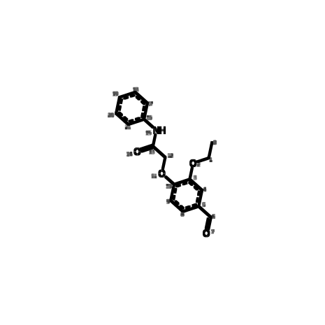 CCOc1cc(C=O)ccc1OCC(=O)Nc1ccccc1